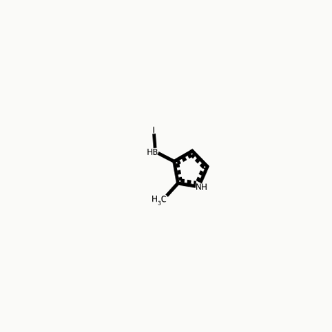 Cc1[nH]ccc1BI